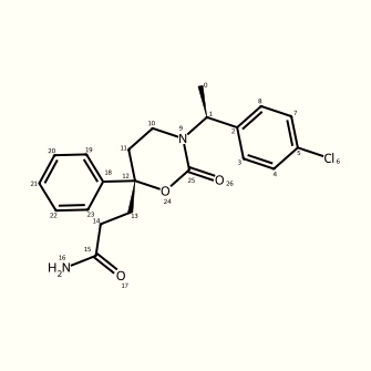 C[C@@H](c1ccc(Cl)cc1)N1CC[C@@](CCC(N)=O)(c2ccccc2)OC1=O